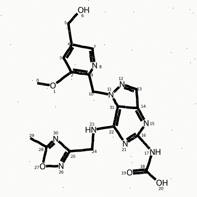 COc1cc(CO)cnc1Cn1ncc2nc(NC(=O)O)nc(NCc3noc(C)n3)c21